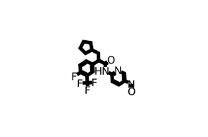 O=Nc1ccc(NC(=O)C(CC2CCCC2)c2ccc(F)c(C(F)(F)F)c2)nc1